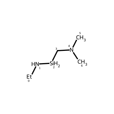 CCN[SiH2]CN(C)C